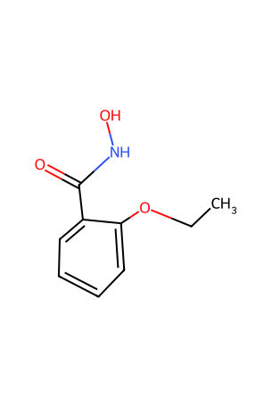 CCOc1ccccc1C(=O)NO